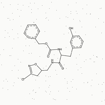 O=C(NC(Cc1cccc(O)c1)C(=O)NCC1CC(Cl)=NO1)OCc1ccccc1